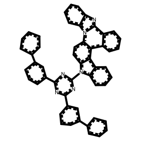 c1ccc(-c2cccc(-c3nc(-c4cccc(-c5ccccc5)c4)nc(-n4c5ccccc5c5c6c7ccccc7c7nc8ccccc8n7c6ccc54)n3)c2)cc1